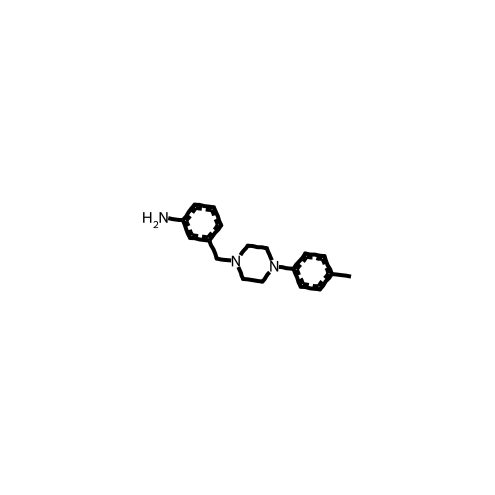 Cc1ccc(N2CCN(Cc3cccc(N)c3)CC2)cc1